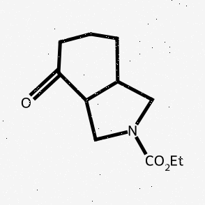 CCOC(=O)N1CC2CCCC(=O)C2C1